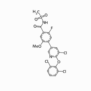 COc1cc(C(=O)NS(C)(=O)=O)c(F)cc1-c1cnc(Oc2c(Cl)cccc2Cl)c(Cl)c1